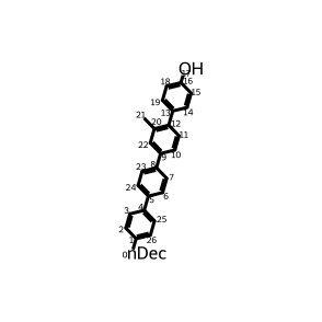 CCCCCCCCCCc1ccc(-c2ccc(-c3ccc(-c4ccc(O)cc4)c(C)c3)cc2)cc1